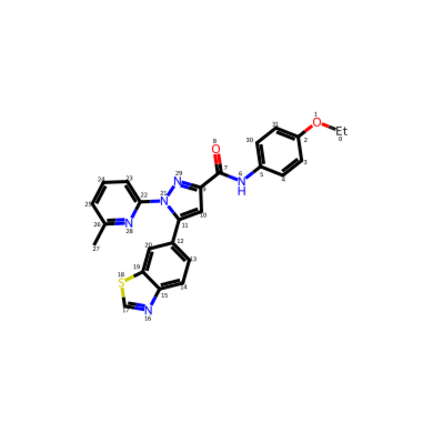 CCOc1ccc(NC(=O)c2cc(-c3ccc4ncsc4c3)n(-c3cccc(C)n3)n2)cc1